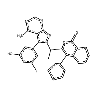 CC(c1oc(=O)c2ccccc2c1-c1ccccc1)n1nc2ncnc(N)c2c1-c1cc(O)cc(F)c1